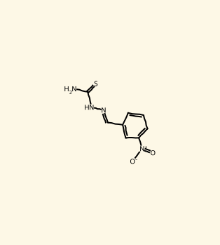 NC(=S)N/N=C/c1cccc([N+](=O)[O-])c1